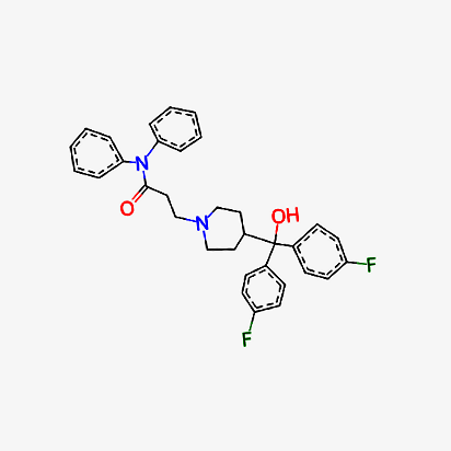 O=C(CCN1CCC(C(O)(c2ccc(F)cc2)c2ccc(F)cc2)CC1)N(c1ccccc1)c1ccccc1